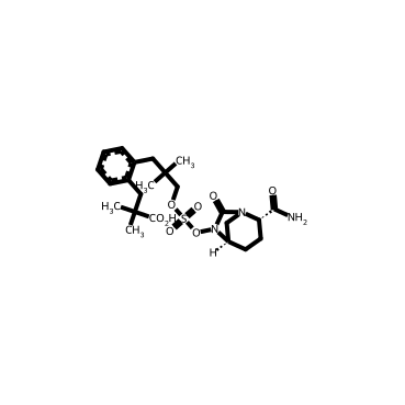 CC(C)(COS(=O)(=O)ON1C(=O)N2C[C@H]1CC[C@H]2C(N)=O)Cc1ccccc1CC(C)(C)C(=O)O